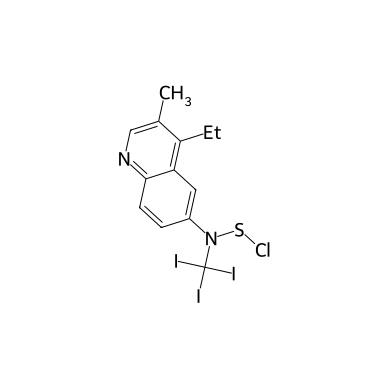 CCc1c(C)cnc2ccc(N(SCl)C(I)(I)I)cc12